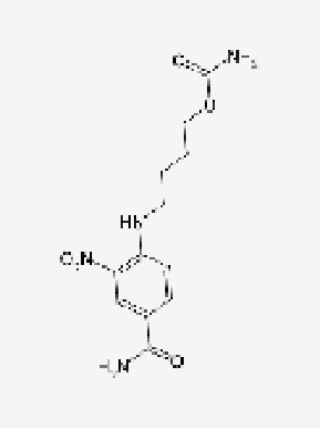 NC(=O)OCCCCNc1ccc(C(N)=O)cc1[N+](=O)[O-]